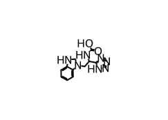 O=C(O)NC(CN1CNc2ccccc21)c1nnn[nH]1